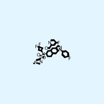 Cn1cnc(S(=O)(=O)N(C2CC(F)(F)C2)[C@H]2CCC3=Cc4c(cnn4-c4ccc(F)cc4)C[C@]3(C(=O)c3cc(F)ccn3)C2)c1